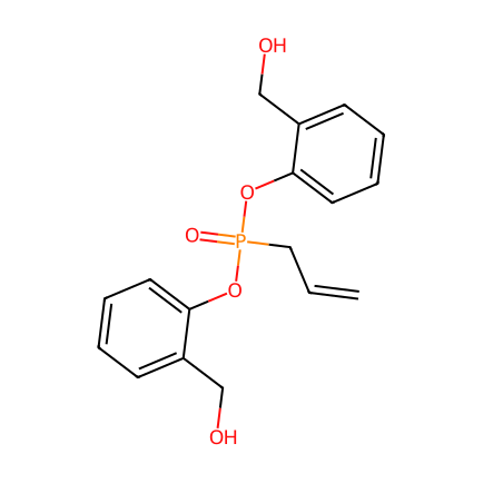 C=CCP(=O)(Oc1ccccc1CO)Oc1ccccc1CO